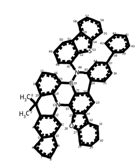 CC1(C)c2cc3ccccc3cc2N2c3c(cccc31)B1c3c(cc4c(oc5ccccc54)c32)-c2ccc(-c3ccccc3)cc2N1c1cccc2c1sc1ccccc12